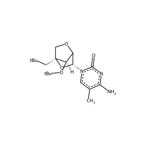 Cc1cn([C@@H]2O[C@@]3(CC(C)(C)C)COC2[C@H]3OC(C)(C)C)c(=O)nc1N